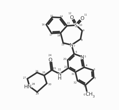 Cc1ccc2nc(N3CCS(=O)(=O)c4ccccc4C3)cc(NC(=O)C3CCNCC3)c2c1